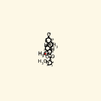 CN1CCCC1C(=O)OC1(C)CC[C@H]2C3CCC4CC(=O)CC[C@]4(C)[C@H]3CC[C@@]21C